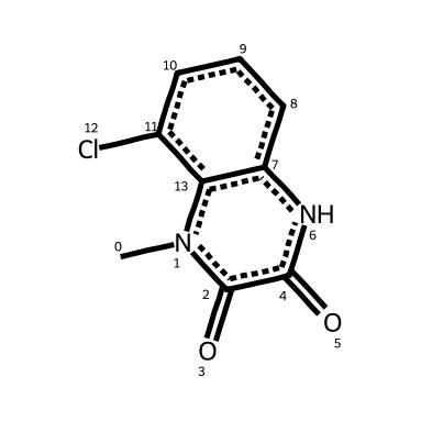 Cn1c(=O)c(=O)[nH]c2cccc(Cl)c21